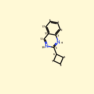 c1ccc2nc(C3CCC3)ncc2c1